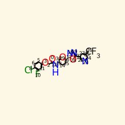 O=C(COc1ccc(Cl)c(F)c1)N[C@@H]1CC[C@@H](c2nnc(-c3cncc(C(F)(F)F)c3)o2)OC1